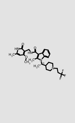 COc1cc(C)[nH]c(=O)c1CNC(=O)c1c(C)n([C@@H](C)C2CCN(CCC(F)(F)F)CC2)c2ccccc12